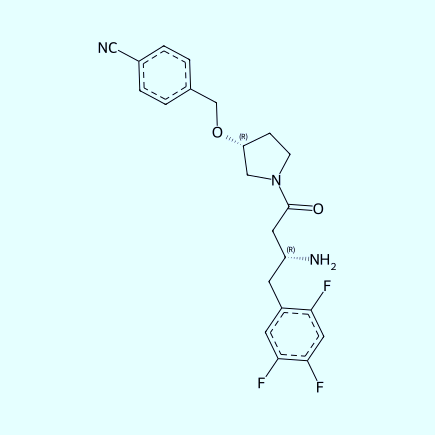 N#Cc1ccc(CO[C@@H]2CCN(C(=O)C[C@H](N)Cc3cc(F)c(F)cc3F)C2)cc1